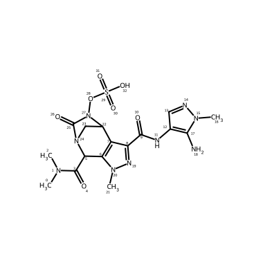 CN(C)C(=O)C1c2c(c(C(=O)Nc3cnn(C)c3N)nn2C)C2CN1C(=O)N2OS(=O)(=O)O